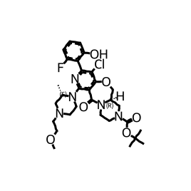 COCCN1CCN(c2nc(-c3c(O)cccc3F)c(Cl)c3c2C(=O)N2CCN(C(=O)OC(C)(C)C)C[C@@H]2CO3)[C@@H](C)C1